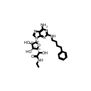 CCNC(=O)C(O)[C@H]1O[C@@H](n2cnc3c(N)nc(NCCCCc4ccccc4)nc32)[C@H](O)[C@@H]1O